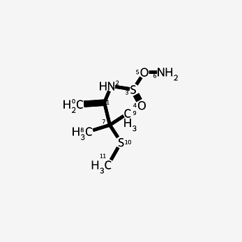 C=C(NS(=O)ON)C(C)(C)SC